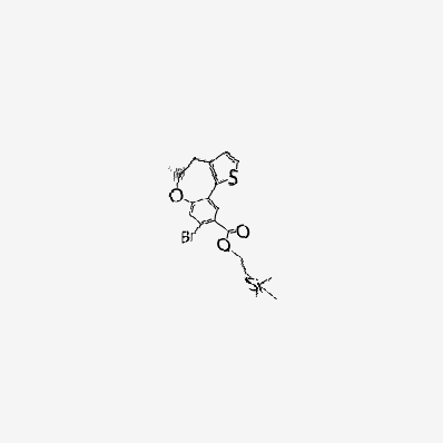 C[C@@H]1Cc2ccsc2-c2cc(C(=O)OCC[Si](C)(C)C)c(Br)cc2O1